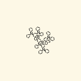 c1ccc(N(c2ccccc2)c2cc3c4c(c2)N(c2ccccc2)c2ccccc2B4c2cc4c(cc2O3)N(c2ccccc2)c2cc(N(c3ccccc3)c3ccccc3)cc3c2B4c2ccc4c(c2O3)Sc2ccccc2N4c2ccccc2)cc1